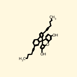 CCCCC#Cc1ccc2c(c1)C1(c3ccc(O)cc3Oc3cc(O)ccc31)c1cc(C#CCCCC)ccc1-2